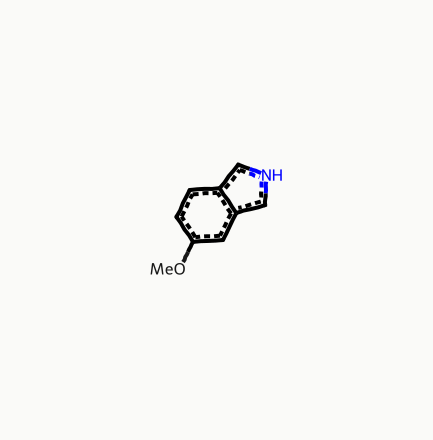 COc1ccc2c[nH]cc2c1